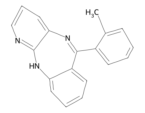 Cc1ccccc1C1=Nc2cccnc2Nc2ccccc21